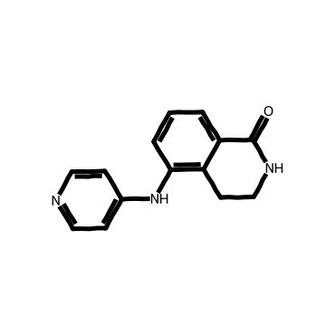 O=C1NCCc2c(Nc3ccncc3)cccc21